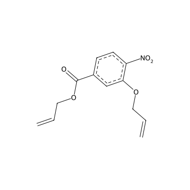 C=CCOC(=O)c1ccc([N+](=O)[O-])c(OCC=C)c1